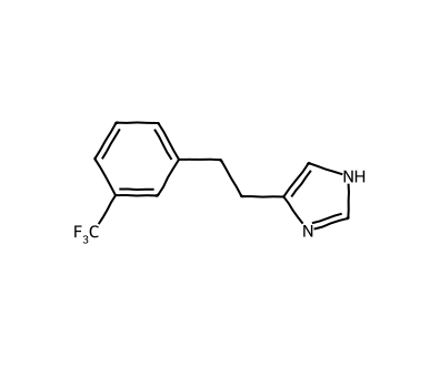 FC(F)(F)c1cccc(CCc2c[nH]cn2)c1